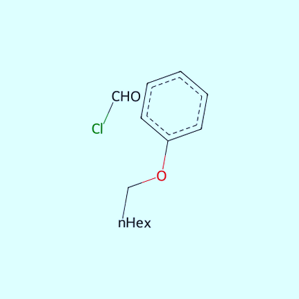 CCCCCCCOc1ccccc1.O=CCl